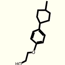 CC1CCC(c2ccc(OCCO)cc2)CC1